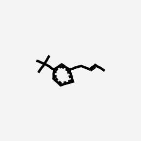 CC=CCc1cccc(C(C)(C)C)c1